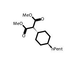 CCCCC[C@H]1CC[C@H](C(C(=O)OC)C(=O)OC)CC1